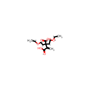 C=C(C(=O)O)C(CCOCC)(CCOCC)C(=O)O